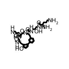 CNC[C@H](O)C[C@@H]1NC(=O)[C@@H](NC)Cc2cc(ccc2O)-c2cccc(c2)C[C@@H](C(=O)NCC(O)CNC(=O)[C@@H](N)CCCN)N(C)C1=O